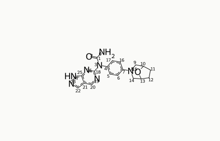 NC(=O)N(c1ccc(N2CC3CCC(C2)O3)cc1)c1ncc2cn[nH]c2n1